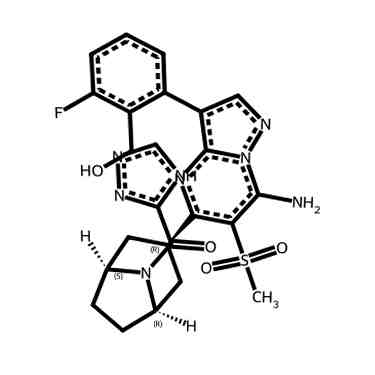 CS(=O)(=O)c1c([C@H]2C[C@H]3CC[C@@H](C2)N3C(=O)c2nnc[nH]2)nc2c(-c3cccc(F)c3CO)cnn2c1N